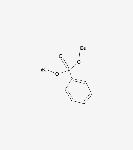 CCC(C)OP(=O)(OC(C)CC)c1ccccc1